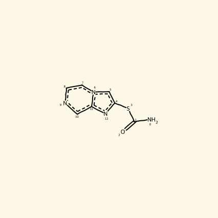 NC(=O)Sc1cn2ccncc2n1